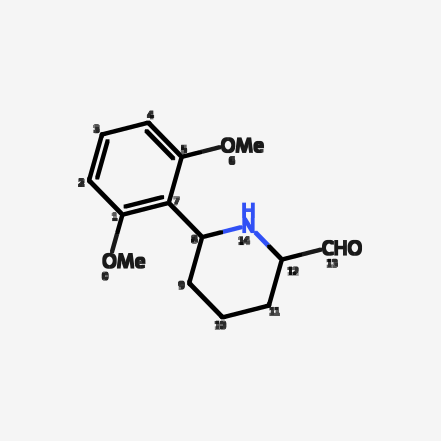 COc1cccc(OC)c1C1CCCC(C=O)N1